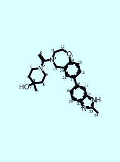 C=C(N1CCC(C)(O)CC1)N1CCOc2ccc(-c3ccc4nc(C)[nH]c4c3)cc2C1